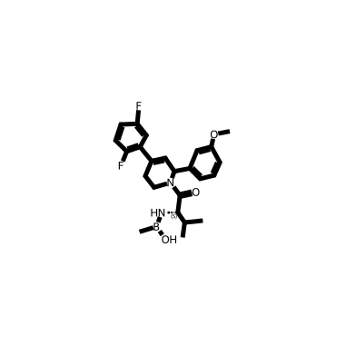 COc1cccc(C2C=C(c3cc(F)ccc3F)CCN2C(=O)[C@@H](NB(C)O)C(C)C)c1